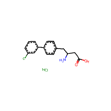 Cl.NC(CC(=O)O)Cc1ccc(-c2cccc(Cl)c2)cc1